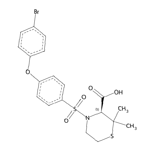 CC1(C)SCCN(S(=O)(=O)c2ccc(Oc3ccc(Br)cc3)cc2)[C@H]1C(=O)O